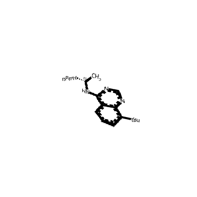 CCCCC[C@H](C)Nc1ncnc2c(C(C)(C)C)cccc12